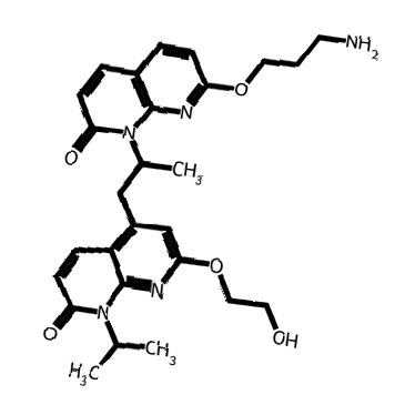 CC(C)n1c(=O)ccc2c(CC(C)n3c(=O)ccc4ccc(OCCCN)nc43)cc(OCCO)nc21